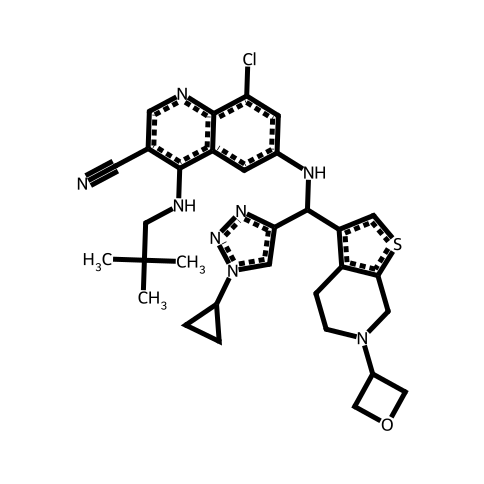 CC(C)(C)CNc1c(C#N)cnc2c(Cl)cc(NC(c3cn(C4CC4)nn3)c3csc4c3CCN(C3COC3)C4)cc12